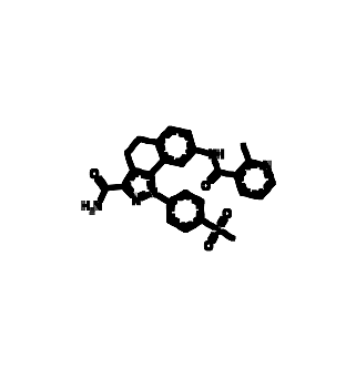 Cc1ncccc1C(=O)Nc1ccc2c(c1)-c1c(c(C(N)=O)nn1-c1ccc(S(C)(=O)=O)cc1)CC2